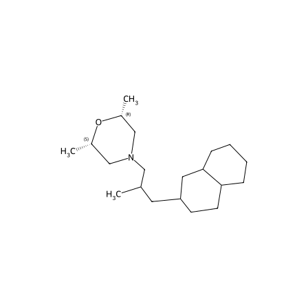 CC(CC1CCC2CCCCC2C1)CN1C[C@@H](C)O[C@@H](C)C1